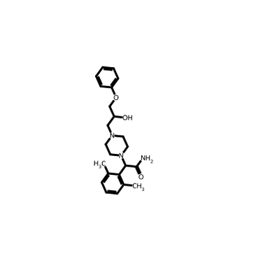 Cc1cccc(C)c1C(C(N)=O)N1CCN(CC(O)COc2ccccc2)CC1